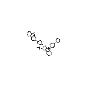 CC1(C)c2cc(-c3ccc4c(c3)sc3ccccc34)ccc2-c2cc3c(cc21)c1ccccc1n3-c1ccc(-c2ccccc2)cc1